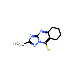 O=C(O)c1nc2nc3c(c([S])n2n1)CCCC3